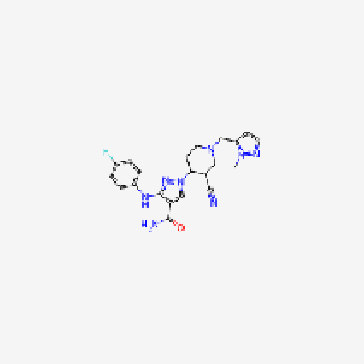 Cn1nccc1CN1CCC(n2cc(C(N)=O)c(Nc3ccc(F)cc3)n2)C(C#N)C1